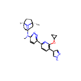 CN(c1ccc(-c2ccc(-c3cn[nH]c3)c(OC3CC3)n2)nn1)[C@H]1C[C@H]2CC[C@@H](C1)N2